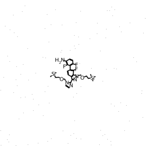 C[Si](C)(C)CCOCn1ccnc1-c1nn(COCC[Si](C)(C)C)c2c(F)c(-c3c(F)ccc(N)c3F)ccc12